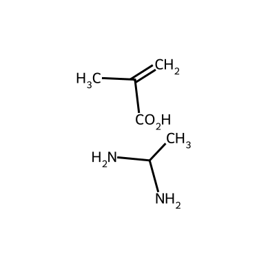 C=C(C)C(=O)O.CC(N)N